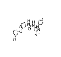 Cc1ccc(-n2nc(C(C)(C)C)cc2NC(=O)Nc2ccnc(OC3CCCNC3)c2)cc1